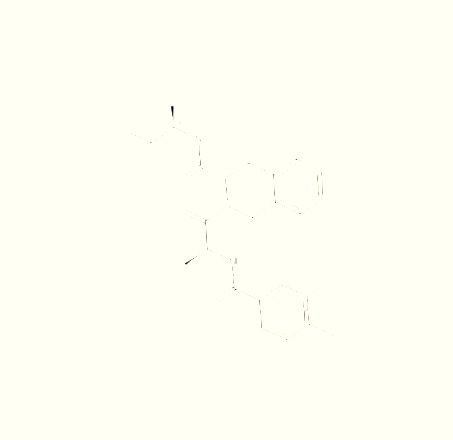 C[C@H](NC(=O)c1ccc(N)c(Cl)c1)C(=O)N1Cc2ccccc2C[C@H]1C(=O)N[C@H](C=O)CC(=O)O